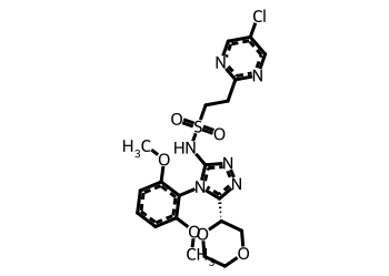 COc1cccc(OC)c1-n1c(NS(=O)(=O)CCc2ncc(Cl)cn2)nnc1[C@@H]1COCCO1